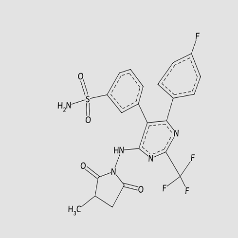 CC1CC(=O)N(Nc2nc(C(F)(F)F)nc(-c3ccc(F)cc3)c2-c2cccc(S(N)(=O)=O)c2)C1=O